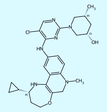 C[C@@H]1C[C@H](O)CN(c2ncc(Cl)c(Nc3ccc4c(c3)C3=C(CN4C)OCC[C@H](C4CC4)N3)n2)C1